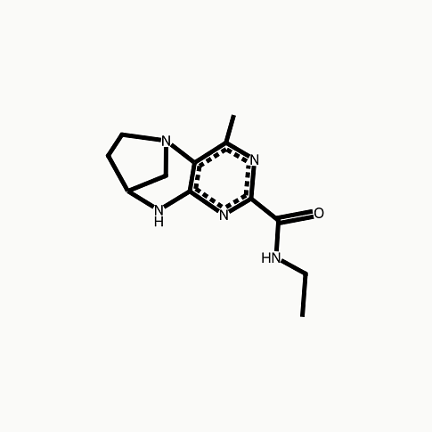 CCNC(=O)c1nc(C)c2c(n1)NC1CCN2C1